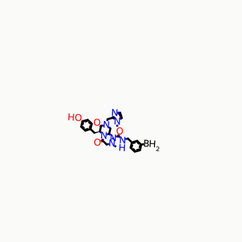 Bc1cccc(CNC(=O)N2C3CN(Cc4nccn4C)C(=O)[C@H](Cc4ccc(O)cc4)N3C(=O)CN2C)c1